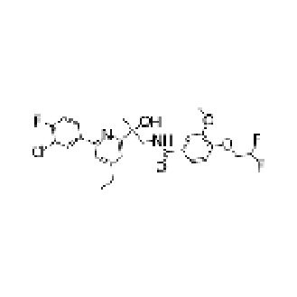 CCc1cc(-c2ccc(F)c(Cl)c2)nc(C(C)(O)CNC(=O)c2ccc(OCC(F)F)c(OC)c2)c1